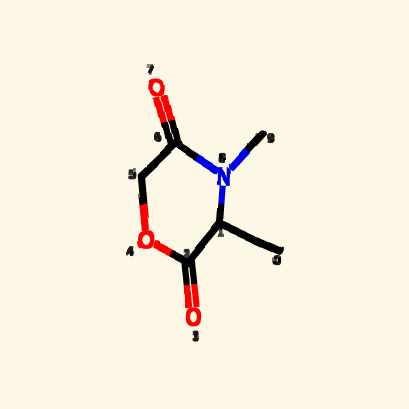 CC1C(=O)OCC(=O)N1C